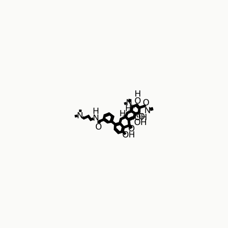 C=NC(=O)C1=C(O)[C@H](N(C)C)[C@@H]2C[C@@H]3Cc4c(-c5cccc(C(=O)NCCCN(C)C)c5)ccc(O)c4C(=O)C3=C(O)[C@]2(O)C1=O